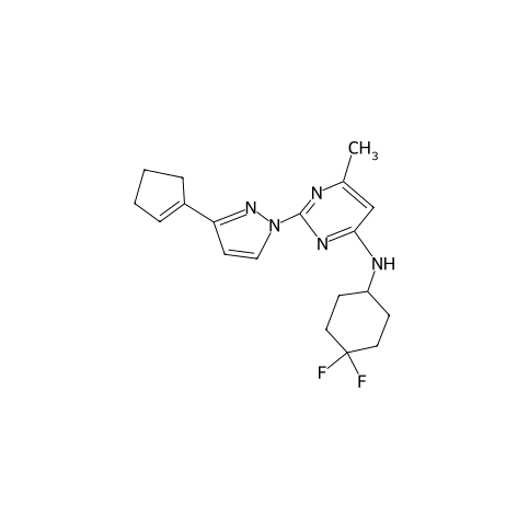 Cc1cc(NC2CCC(F)(F)CC2)nc(-n2ccc(C3=CCCC3)n2)n1